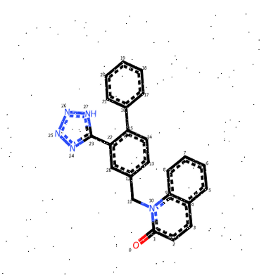 O=c1ccc2ccccc2n1Cc1ccc(-c2ccccc2)c(-c2nnn[nH]2)c1